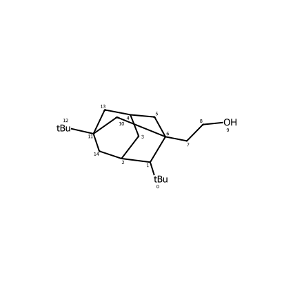 CC(C)(C)C1C2CC3CC1(CCO)CC(C(C)(C)C)(C3)C2